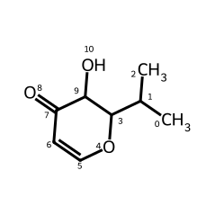 CC(C)C1OC=CC(=O)C1O